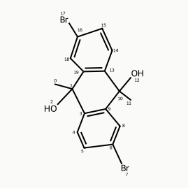 CC1(O)c2ccc(Br)cc2C(C)(O)c2ccc(Br)cc21